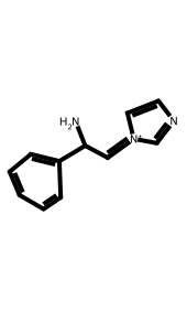 NC(C=[N+]1C=CN=C1)c1ccccc1